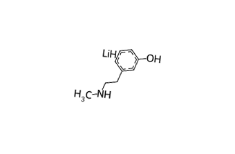 CNCCc1cccc(O)c1.[LiH]